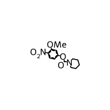 COc1cc(OC(=O)N2CCCCC2)ccc1[N+](=O)[O-]